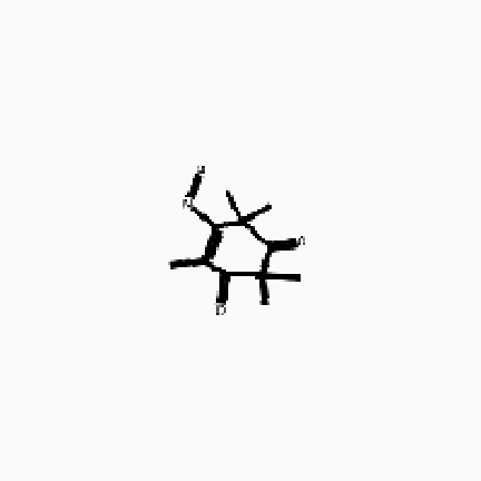 CC1=C(N=O)C(C)(C)C(=O)C(C)(C)C1=O